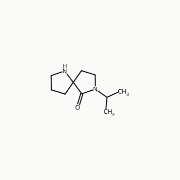 CC(C)N1CCC2(CCCN2)C1=O